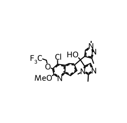 COc1nc2ccc(C(O)(c3cn(C)nc3C)c3cnc(C)n3C)cc2c(Cl)c1OCC(F)(F)F